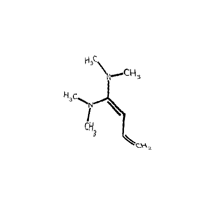 C=CC=C(N(C)C)N(C)C